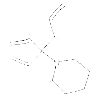 C=CCC(C=C)(C=C)N1CCCCC1